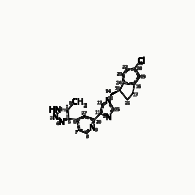 Cc1[nH]nnc1-c1ccnc(-c2cn(C[C@@H]3CCc4cc(Cl)ccc43)cn2)c1